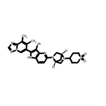 Cc1c(-c2[nH]c3ccc(N4C[C@H]5C[C@@H]4CN5C4CCS(=O)(=O)CC4)nc3c2C(C)C)cn2ncnc2c1C